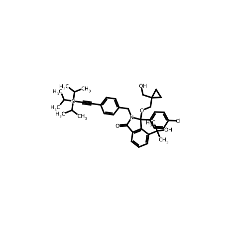 CC(C)[Si](C#Cc1ccc(CN2C(=O)c3cccc(C(C)(C)O)c3C2(OCC2(CO)CC2)c2ccc(Cl)cc2)cc1)(C(C)C)C(C)C